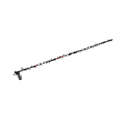 CCCCCCCCCCCCCOCCOCCOCCOCCOCCOCCOCCOCCOCCOCCOCCOCCOCCOCCOCCOCCOCCOCCOCCOCCOCCOCCOCCOCCOC(=O)CCc1cc(-n2nc3ccccc3n2)c(O)c(C(C)(C)C)c1